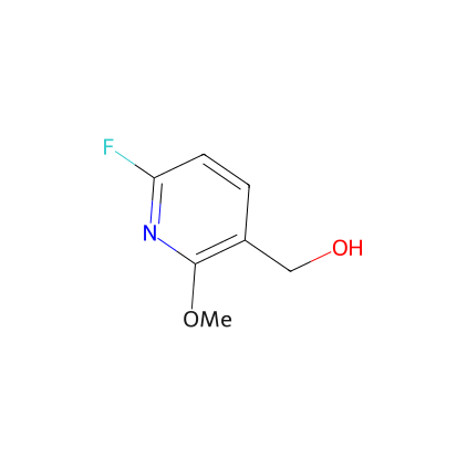 COc1nc(F)ccc1CO